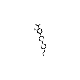 CCC[C@H]1CC[C@H]([C@H]2CC[C@H](c3ccc(C(C)=O)c(F)c3)CC2)CC1